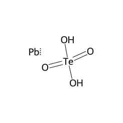 O=[Te](=O)(O)O.[Pb]